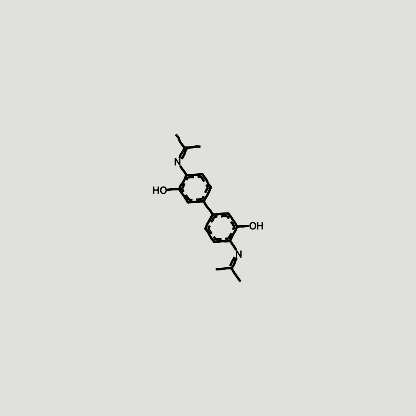 CC(C)=Nc1ccc(-c2ccc(N=C(C)C)c(O)c2)cc1O